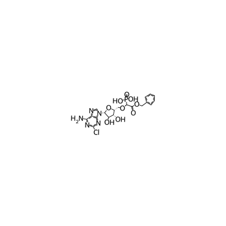 Nc1nc(Cl)nc2c1ncn2[C@@H]1O[C@H](CO[C@H](C(=O)OCc2ccccc2)P(=O)(O)O)[C@H](O)[C@H]1O